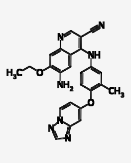 CCOc1cc2ncc(C#N)c(Nc3ccc(Oc4ccn5ncnc5c4)c(C)c3)c2cc1N